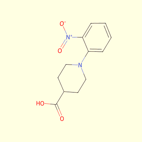 O=C(O)C1CCN(c2ccccc2[N+](=O)[O-])CC1